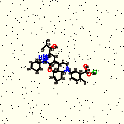 [CH2]c1ccc(N2CCC(=C(CC(N)C(=O)C(C)C)C(=O)Nc3ccccc3)c3ccccc32)cc1C(=O)OCl